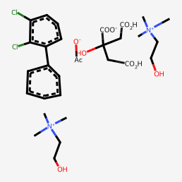 CC(=O)[O-].C[N+](C)(C)CCO.C[N+](C)(C)CCO.Clc1cccc(-c2ccccc2)c1Cl.O=C(O)CC(O)(CC(=O)O)C(=O)[O-]